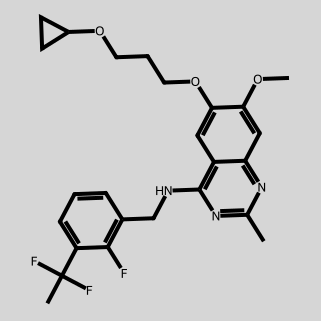 COc1cc2nc(C)nc(NCc3cccc(C(C)(F)F)c3F)c2cc1OCCCOC1CC1